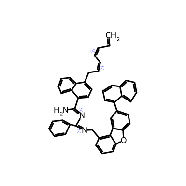 C=C/C=C\C=C/Cc1ccc(/C(N)=N/C(=N\Cc2cccc3oc4ccc(-c5cccc6ccccc56)cc4c23)c2ccccc2)c2ccccc12